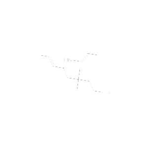 CC=CNC(C=CCC)CC(C)(C)CCC(C)(C)C